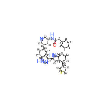 O=C(Cc1ccccc1)Nc1cncc(-c2ccc3[nH]nc(-c4cc5c(-c6ccsc6)cccc5[nH]4)c3c2)c1